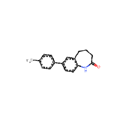 O=C1CCCc2cc(-c3ccc(C(F)(F)F)cc3)ccc2N1